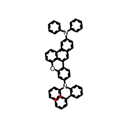 c1ccc(-c2ccccc2N(c2ccccc2)c2ccc3c(c2)Oc2cccc4c2c-3cc2ccc(N(c3ccccc3)c3ccccc3)cc24)cc1